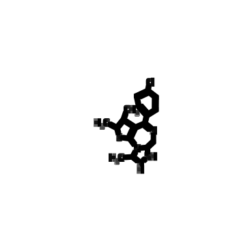 CC1SC2=C(C(c3ccc(Cl)cc3)=NCC3NNC(C)N23)C1C